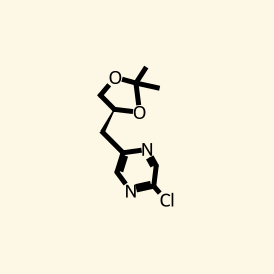 CC1(C)OC[C@H](Cc2cnc(Cl)cn2)O1